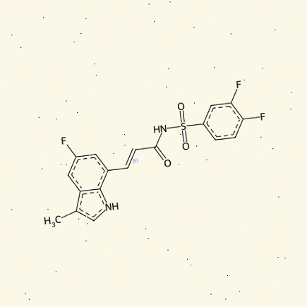 Cc1c[nH]c2c(/C=C/C(=O)NS(=O)(=O)c3ccc(F)c(F)c3)cc(F)cc12